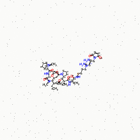 CCC(C)C(C(CC(=O)N1CCCC1C(OC)C(C)C(=O)N[C@@H](C)C(=O)NSCCCN(N)/C=C(\N)CN1C(=O)C=CC1=O)OC)N(C)C(=O)CNC(=O)C1C2CCC(C2)N1C